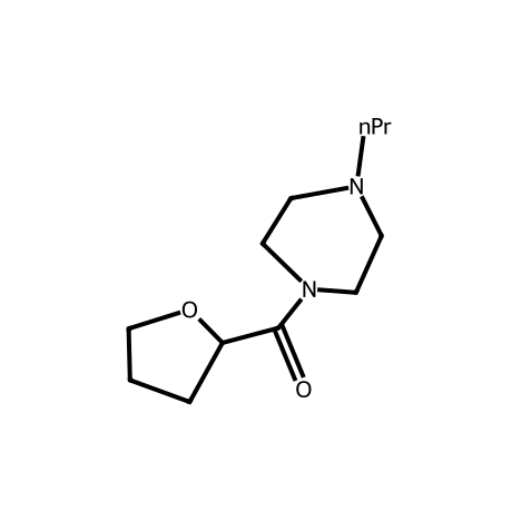 CCCN1CCN(C(=O)C2CCCO2)CC1